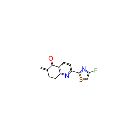 C=C1CCc2nc(-c3nc(F)cs3)ccc2C1=O